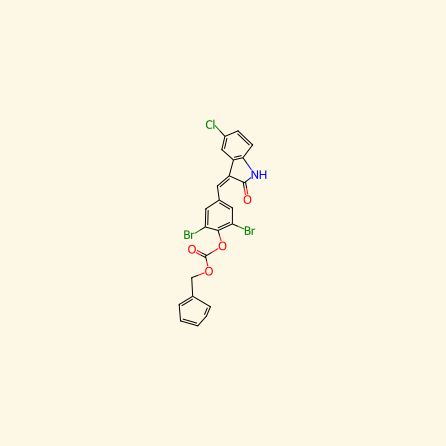 O=C(OCc1ccccc1)Oc1c(Br)cc(/C=C2\C(=O)Nc3ccc(Cl)cc32)cc1Br